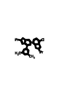 CC(C)C1=Cc2c(Cl)cccc2C1.Cc1cc(C)cc(-c2cccc3c2C=C(C(C)C)C3)c1